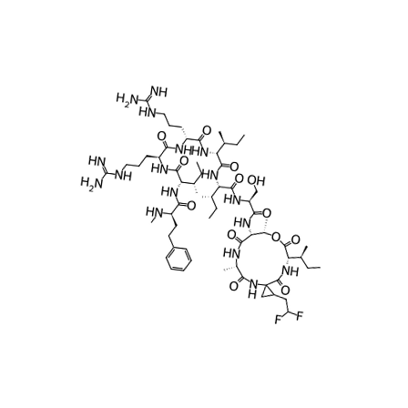 CC[C@H](C)[C@H](NC(=O)[C@@H](CCc1ccccc1)NC)C(=O)N[C@@H](CCCNC(=N)N)C(=O)N[C@H](CCCNC(=N)N)C(=O)N[C@@H](C(=O)N[C@H](C(=O)N[C@@H](CO)C(=O)N[C@H]1C(=O)N[C@@H](C)C(=O)NC2(CC2CC(F)F)C(=O)N[C@@H]([C@@H](C)CC)C(=O)O[C@H]1C)[C@@H](C)CC)[C@@H](C)CC